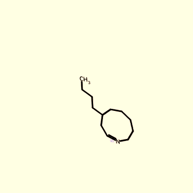 CCCCC1C/C=N\CCCCC1